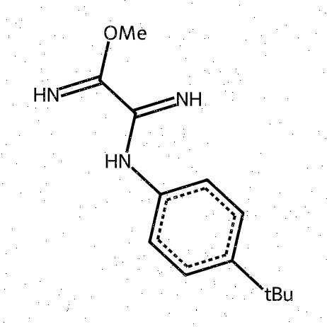 COC(=N)C(=N)Nc1ccc(C(C)(C)C)cc1